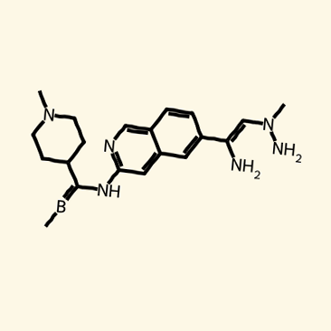 C/B=C(\Nc1cc2cc(/C(N)=C/N(C)N)ccc2cn1)C1CCN(C)CC1